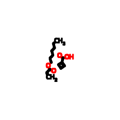 C=CC(=O)OCCCCCCC.O=C(O)C1=CCC1